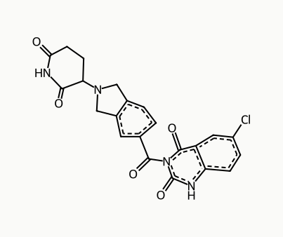 O=C1CCC(N2Cc3ccc(C(=O)n4c(=O)[nH]c5ccc(Cl)cc5c4=O)cc3C2)C(=O)N1